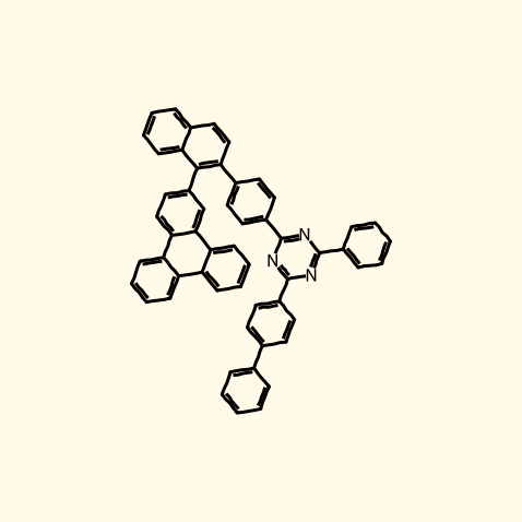 c1ccc(-c2ccc(-c3nc(-c4ccccc4)nc(-c4ccc(-c5ccc6ccccc6c5-c5ccc6c7ccccc7c7ccccc7c6c5)cc4)n3)cc2)cc1